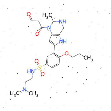 CCCOc1ccc(S(=O)(=O)NCCN(C)C)cc1-c1cc2c([nH]1)CNC(C)N2C(=O)CC=O